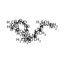 CC[C@H](C)[C@H](NC(=O)c1nc(-c2nc(-c3csc(-c4nc(-c5csc(C(CCCN=C(N)N)N(C)C)n5)oc4C)n3)oc2C)oc1C)C(=O)N[C@H](c1nc(-c2nc(-c3nc(-c4nc(C5=NC(C(=O)N[C@@H](Cc6ccccc6)C(=O)O)C(C)O5)co4)co3)co2)co1)[C@@H](C)CC